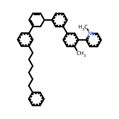 Cc1ccc(-c2cccc(C3C=CC=C(c4cccc(CCCCCCc5ccccc5)c4)C3)c2)cc1-c1cccc[n+]1C